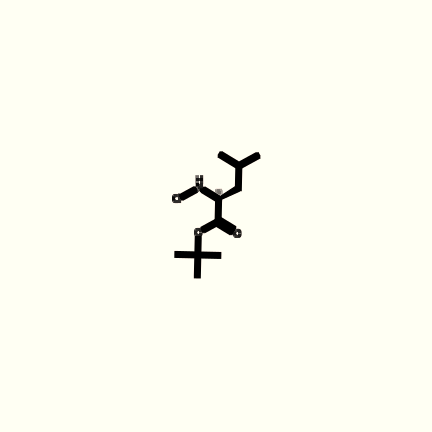 CC(C)C[C@H](NCl)C(=O)OC(C)(C)C